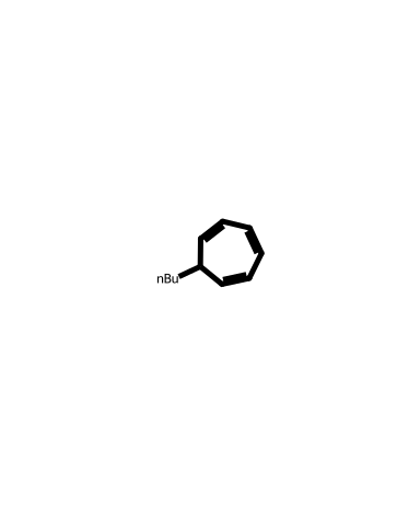 CCCCC1C=CC=CC=C1